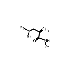 C=C(CN(CC)CC)C(=O)NC(C)C